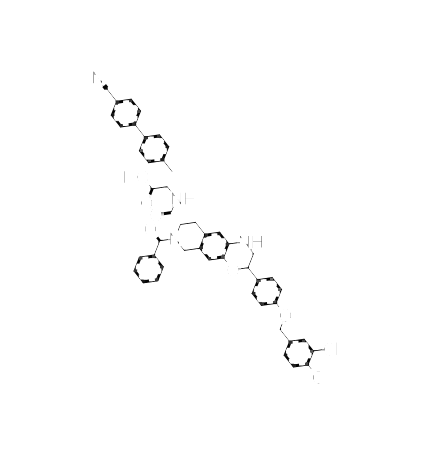 N#Cc1ccc(-c2ccc(C[C@H](NC(=O)[C@@H]3Cc4cc5c(cc4CN3C(=O)c3ccccc3)OC(c3ccc(OCc4ccc(Cl)c(Cl)c4)cc3)CN5)C(=O)O)cc2)cc1